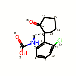 O=C(O)NC[C@@]1(c2ccccc2Cl)CCCCC1=O